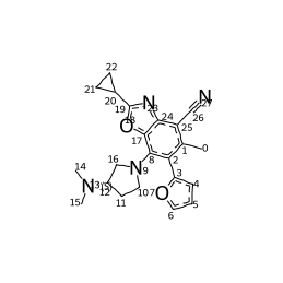 Cc1c(-c2ccco2)c(N2CC[C@H](N(C)C)C2)c2oc(C3CC3)nc2c1C#N